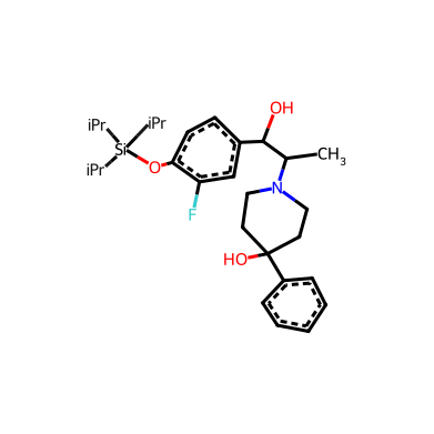 CC(C(O)c1ccc(O[Si](C(C)C)(C(C)C)C(C)C)c(F)c1)N1CCC(O)(c2ccccc2)CC1